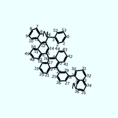 c1ccc(-c2nc3ccccc3c3c2cc(-c2c4ccccc4c(-c4cccc(-c5cccc6cccnc56)c4)c4ccccc24)c2ccccc23)cc1